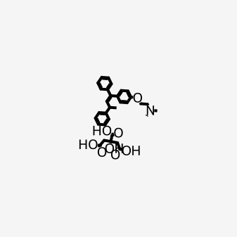 CC(/C=C(/c1ccccc1)c1ccc(OCCN(C)C)cc1)c1ccccc1.O=C(O)CC(O)(CC(=O)O)C(=O)O